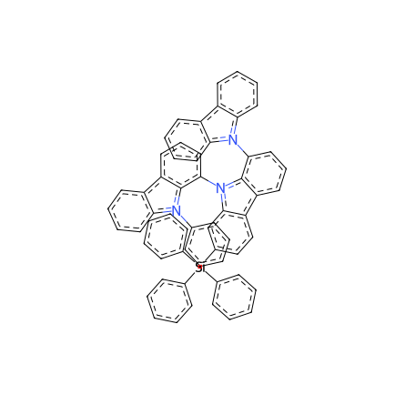 c1ccc(-n2c3ccccc3c3cccc(-n4c5cc([Si](c6ccccc6)(c6ccccc6)c6ccccc6)ccc5c5cccc(-n6c7ccccc7c7ccccc76)c54)c32)cc1